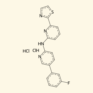 Cl.Cl.Fc1cccc(-c2ccc(Nc3cccc(-c4nccs4)n3)nc2)c1